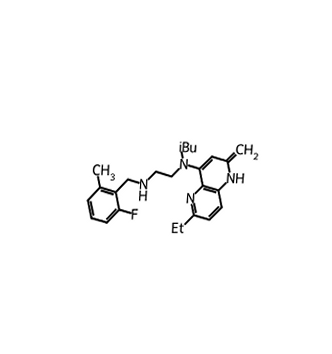 C=C1C=C(N(CCNCc2c(C)cccc2F)C(C)CC)c2nc(CC)ccc2N1